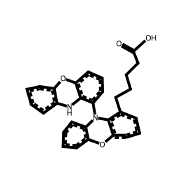 O=C(O)CCCCc1cccc2c1N(c1cccc3c1Nc1ccccc1O3)c1ccccc1O2